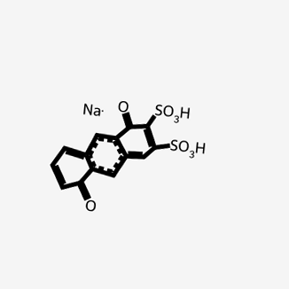 O=C1C=CC=c2cc3c(cc21)=CC(S(=O)(=O)O)=C(S(=O)(=O)O)C3=O.[Na]